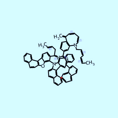 C=C1/C=C\C=C/N(C/C=C\C=C/C)c2cc(C(=N/Cc3cccc4ccccc34)/N=C(\C/C=C/C)c3ccc4c(oc5ccc6ccccc6c54)c3-n3c4cc5ccccc5cc4c4c5ccccc5ccc43)ccc21